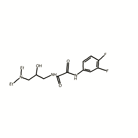 CCN(CC)CC(O)CNC(=O)C(=O)Nc1ccc(F)c(F)c1